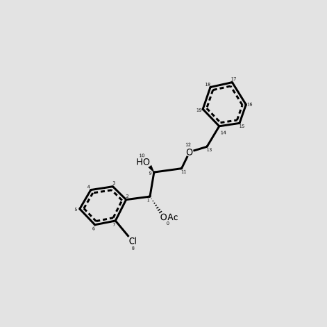 CC(=O)O[C@H](c1ccccc1Cl)[C@@H](O)COCc1ccccc1